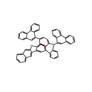 c1ccc(N(c2ccc(-c3cc4ccccc4c4ccccc34)cc2)c2cc3ccccc3c3ccccc23)c(-c2ccc3oc4cc5ccccc5cc4c3c2)c1